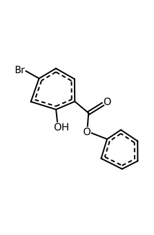 O=C(Oc1ccccc1)c1ccc(Br)cc1O